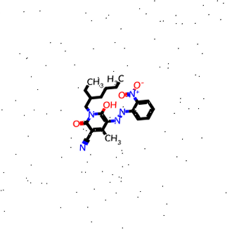 CCCCC(CC)Cn1c(O)c(/N=N/c2ccccc2[N+](=O)[O-])c(C)c(C#N)c1=O